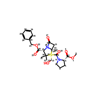 COC(=O)[C@@H]1CCCN1C(=O)[S@]1(CO)[C@@H]2CC(=O)N2[C@@H](C(=O)OCc2ccccc2)C1(C)C